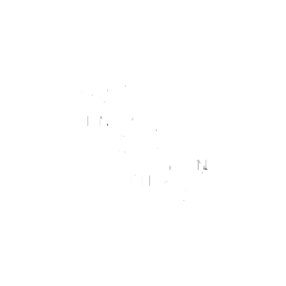 Cc1cc2c(cc1-c1cccnc1)CCC(=S)N2